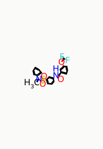 CN(c1ccccc1)S(=O)(=O)c1cccc(NC(=O)c2cccc(OC(F)F)c2)c1